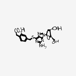 Nc1nc(SCc2ccc(CC(=O)O)cc2)c2ncn([C@H]3C[C@H](O)[C@@H](CO)O3)c2n1